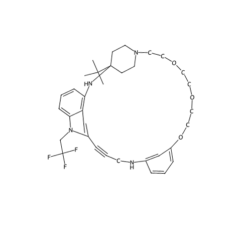 CC(C)(C)C12CCN(CCOCCOCCOc3cccc(c3)NCC#Cc3cc4c(cccc4n3CC(F)(F)F)N1)CC2